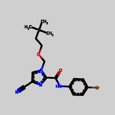 C[Si](C)(C)CCOCn1cc(C#N)nc1C(=O)Nc1ccc(Br)cc1